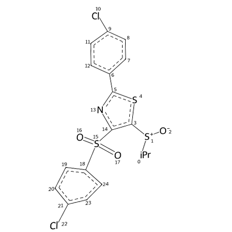 CC(C)[S+]([O-])c1sc(-c2ccc(Cl)cc2)nc1S(=O)(=O)c1ccc(Cl)cc1